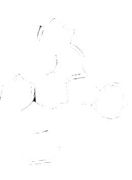 C1=CC2=CC3=C4B(c5ccccc53)n3c5ccccc5c5cccc(c53)C4C2C=C1